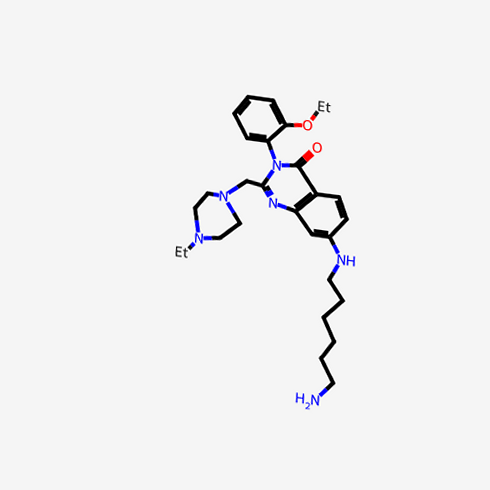 CCOc1ccccc1-n1c(CN2CCN(CC)CC2)nc2cc(NCCCCCCN)ccc2c1=O